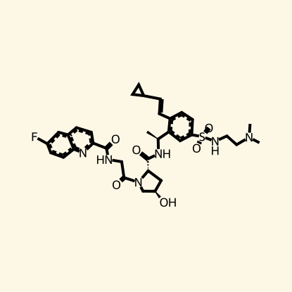 C[C@H](NC(=O)[C@@H]1C[C@@H](O)CN1C(=O)CNC(=O)c1ccc2cc(F)ccc2n1)c1cc(S(=O)(=O)NCCN(C)C)ccc1/C=C/C1CC1